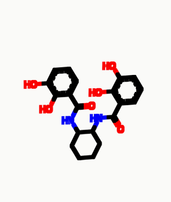 O=C(NC1CCCCC1NC(=O)c1cccc(O)c1O)c1cccc(O)c1O